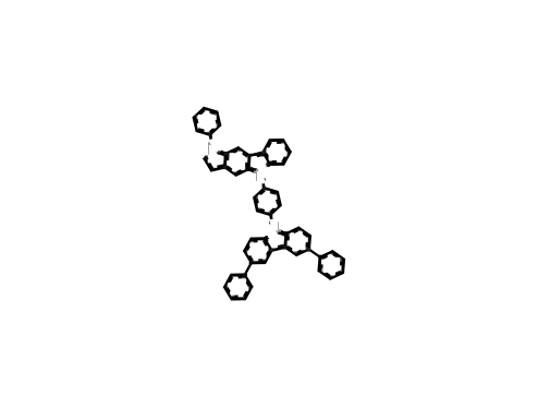 c1ccc(-c2ccc3c(c2)c2cc(-c4ccccc4)ccc2n3-c2ccc(-n3c4ccccc4c4cc5c(ccn5-c5ccccc5)cc43)cc2)cc1